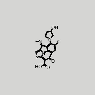 CN=c1c2c(N3CCC(O)C3)c(F)cc3c(=O)c(C(=O)O)c4scc1n4c32